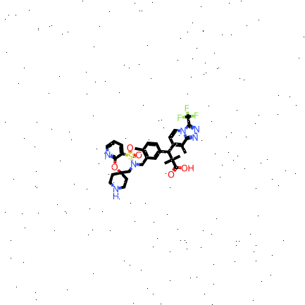 Cc1ccc(C(c2ccn3c(C(F)(F)F)nnc3c2C)C(C)(C)C(=O)O)cc1CN1CC2(CCNCC2)Oc2ncccc2S1(=O)=O